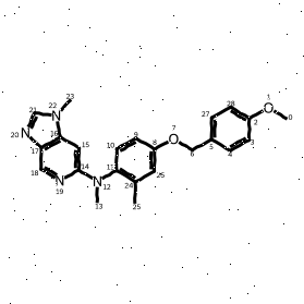 COc1ccc(COc2ccc(N(C)c3cc4c(cn3)ncn4C)c(C)c2)cc1